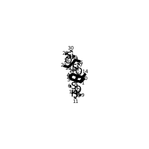 C=CC(CC)([SiH](C)O[Si](C)(C)C)C(CC)(CC)O[Si](C)(C)C(CC)(CC)O[Si](C)(C)C